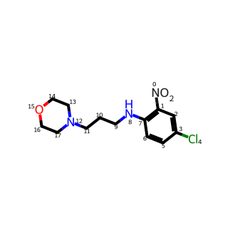 O=[N+]([O-])c1cc(Cl)ccc1NCCCN1CCOCC1